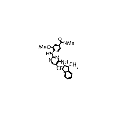 CNC(=O)c1ccc(Nc2ncc(C(F)(F)F)c(N[C@@H]3Cc4ccccc4[C@H]3C)n2)c(OC)c1